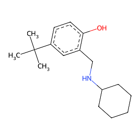 CC(C)(C)c1ccc(O)c(CNC2CCCCC2)c1